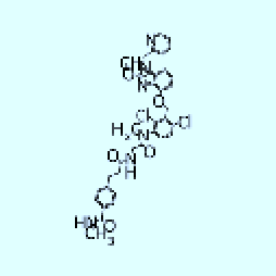 CNC(=O)c1ccc(CCC(=O)NCC(=O)N(C)c2ccc(Cl)c(COc3cccc4c3nc(OC)n4Cc3ccccn3)c2Cl)cc1